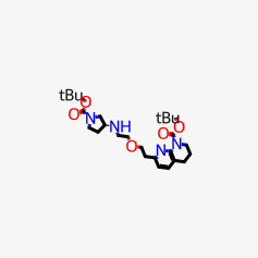 CC(C)(C)OC(=O)N1CC[C@@H](NCCOCCc2ccc3c(n2)N(C(=O)OC(C)(C)C)CCC3)C1